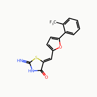 N=C1NC(=O)/C(=C/c2ccc(-c3ccccc3C(F)(F)F)o2)S1